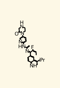 C=C(/N=C(C1=C/C(=C(/C)C(C)C)C(=N)C=C1)\C(F)=C/C)Nc1ccc(N2CCNCC2=O)cn1